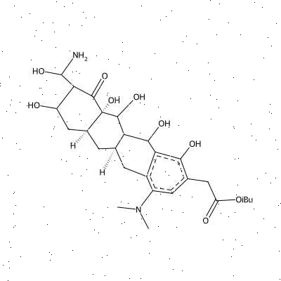 CC(C)COC(=O)Cc1cc(N(C)C)c2c(c1O)C(O)C1C(O)[C@]3(O)C(=O)C(C(N)O)C(O)C[C@@H]3C[C@@H]1C2